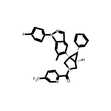 Cc1cc2c(cnn2-c2ccc(F)cc2)cc1[C@@]12CN(C(=O)c3ccc(C(F)(F)F)cn3)C[C@@H]1[C@H]2c1ccccc1